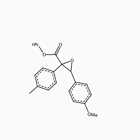 CCCOC(=O)C1(c2ccc(C)cc2)OC1c1ccc(OC)cc1